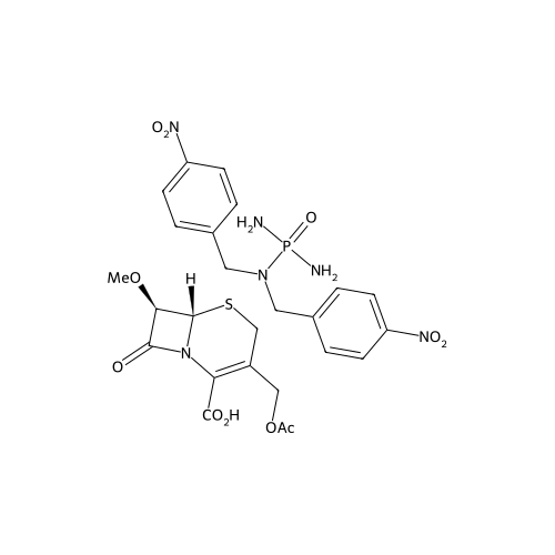 CO[C@@H]1C(=O)N2C(C(=O)O)=C(COC(C)=O)CS[C@@H]12.NP(N)(=O)N(Cc1ccc([N+](=O)[O-])cc1)Cc1ccc([N+](=O)[O-])cc1